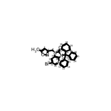 Cc1cc(Cn2c(=O)n(C(c3ccccc3)(c3ccccc3)c3ccccc3)c3ncc(Br)cc32)no1